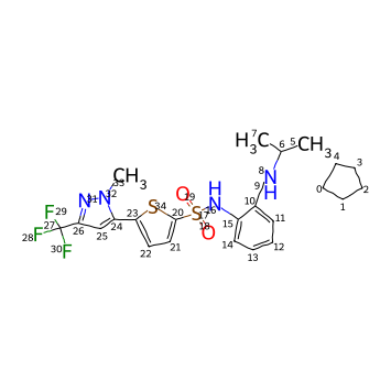 C1CCCC1.CC(C)NCc1ccccc1NS(=O)(=O)c1ccc(-c2cc(C(F)(F)F)nn2C)s1